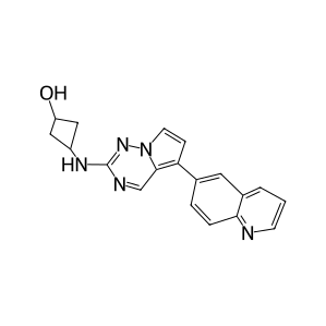 OC1CC(Nc2ncc3c(-c4ccc5ncccc5c4)ccn3n2)C1